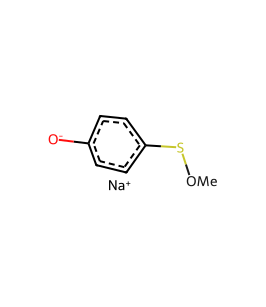 COSc1ccc([O-])cc1.[Na+]